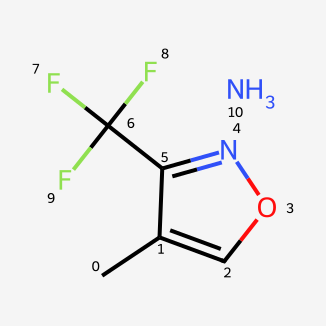 Cc1conc1C(F)(F)F.N